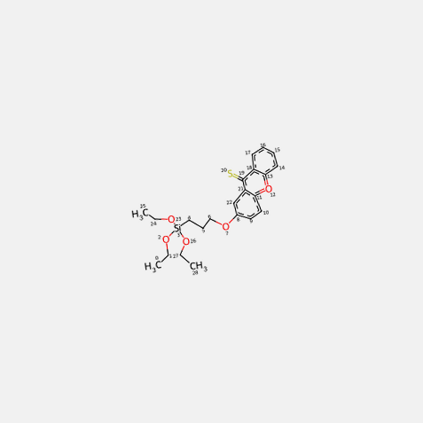 CCO[Si](CCCOc1ccc2oc3ccccc3c(=S)c2c1)(OCC)OCC